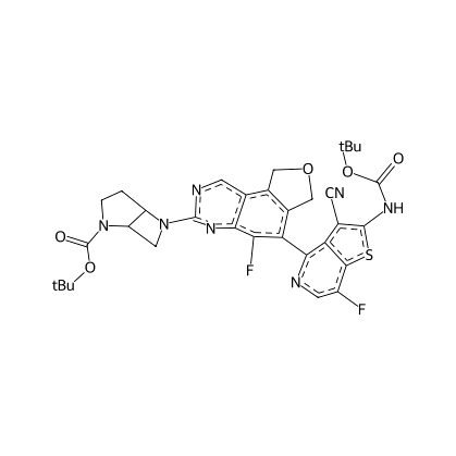 CC(C)(C)OC(=O)Nc1sc2c(F)cnc(-c3c4c(c5cnc(N6CC7C6CCN7C(=O)OC(C)(C)C)nc5c3F)COC4)c2c1C#N